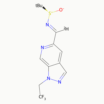 [2H]/C(=N\[S@+]([O-])C(C)(C)C)c1cc2cnn(CC(F)(F)F)c2cn1